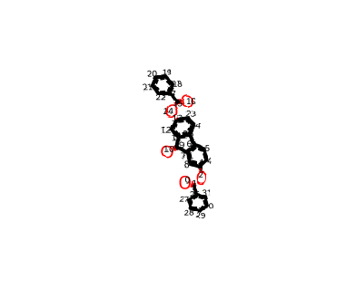 O=C(Oc1ccc2c(c1)C(=O)c1cc(OC(=O)c3ccccc3)ccc1-2)c1ccccc1